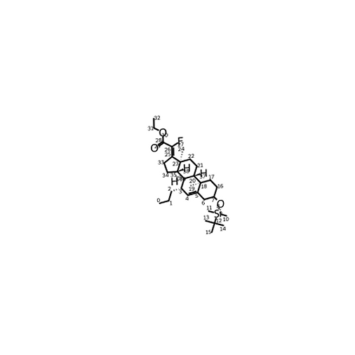 CCC[C@H]1C=C2CC(O[Si](C)(C)C(C)(C)C)CC[C@]2(C)[C@H]2CC[C@]3(C)C(=C(F)C(=O)OCC)CC[C@H]3[C@H]12